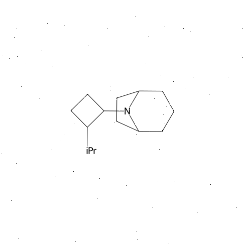 CC(C)C1CCC1N1C2CCCC1CC2